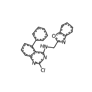 Clc1nc(NCc2nc3ccccc3o2)c2c(-c3ccccc3)cccc2n1